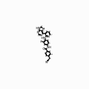 N#CCc1ccc(C(=O)Nc2ccc(Nc3ncccc3-c3ncnc4[nH]cnc34)c(F)c2)cc1